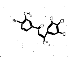 Cc1cc(C(=O)/C=C(\c2cc(Cl)c(Cl)c(Cl)c2)C(F)(F)F)ccc1Br